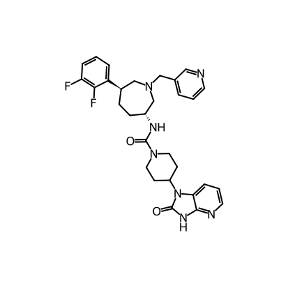 O=C(N[C@@H]1CC[C@@H](c2cccc(F)c2F)CN(Cc2cccnc2)C1)N1CCC(n2c(=O)[nH]c3ncccc32)CC1